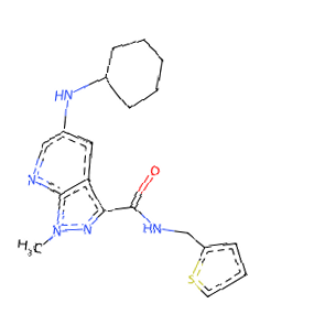 Cn1nc(C(=O)NCc2cccs2)c2cc(NC3CCCCC3)cnc21